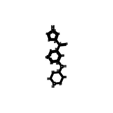 C=C(c1cc[nH]c1)c1cncc(OC2CCOCC2)c1